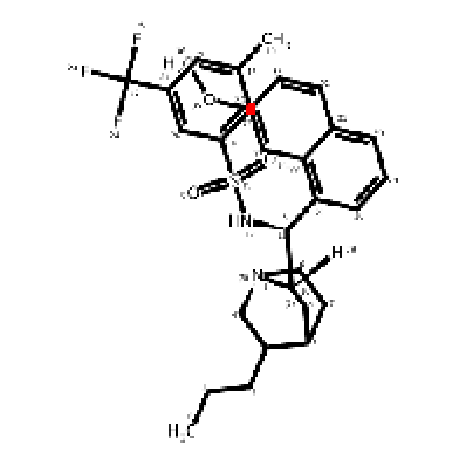 CCCC1C[N@@]2CCC1C[C@H]2[C@@H](NS(=O)(=O)c1cc(C)cc(C(F)(F)F)c1)c1cccc2ccc(OC)cc12